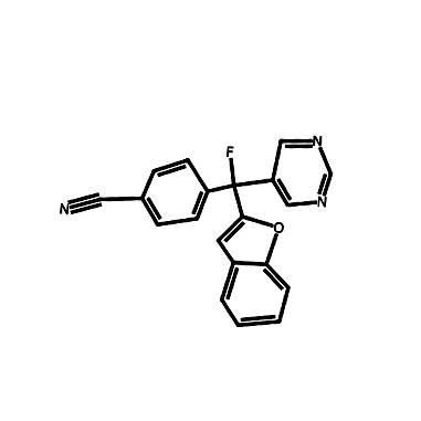 N#Cc1ccc(C(F)(c2cncnc2)c2cc3ccccc3o2)cc1